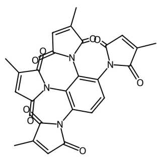 CC1=CC(=O)N(c2ccc(N3C(=O)C=C(C)C3=O)c(N3C(=O)C=C(C)C3=O)c2N2C(=O)C=C(C)C2=O)C1=O